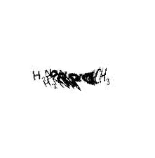 CN1CCN(c2ccc(-n3nc(-c4ccc(N)c(F)c4)c4c(N)ncnc43)c(C#N)c2)CC1